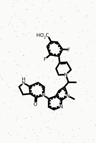 CC(c1cc2c(-n3ccc4c(c3=O)CCN4)ccnc2n1C)N1CC=C(c2c(F)cc(C(=O)O)cc2F)CC1